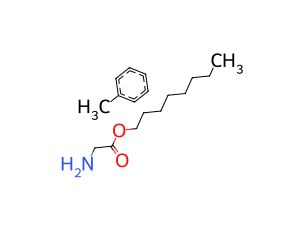 CCCCCCCCOC(=O)CN.Cc1ccccc1